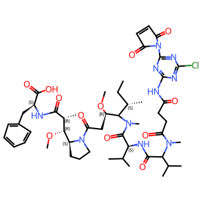 CC[C@H](C)C([C@@H](CC(=O)N1CCC[C@H]1[C@H](OC)[C@@H](C)C(=O)N[C@@H](Cc1ccccc1)C(=O)O)OC)N(C)C(=O)[C@@H](NC(=O)C(C(C)C)N(C)C(=O)CCC(=O)Nc1nc(Cl)nc(N2C(=O)C=CC2=O)n1)C(C)C